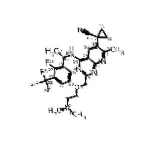 Cc1nc2nc(COCCN(C)C)nc(N[C@H](C)c3cccc(C(F)(F)F)c3F)c2cc1C1(C#N)CC1